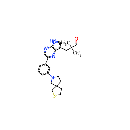 CC(C)(C=O)Cc1c[nH]c2ncc(-c3cccc(N4CCC5(CCSC5)C4)c3)nc12